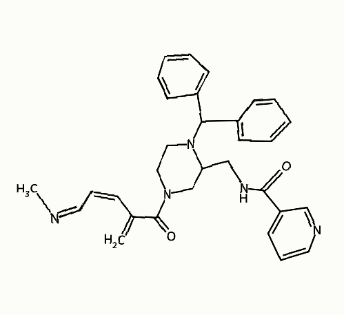 C=C(/C=C\C=N/C)C(=O)N1CCN(C(c2ccccc2)c2ccccc2)C(CNC(=O)c2cccnc2)C1